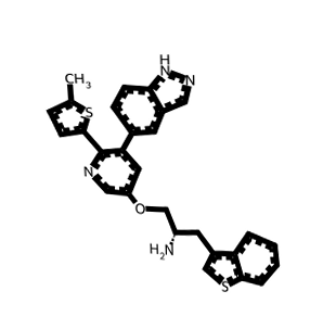 Cc1ccc(-c2ncc(OC[C@@H](N)Cc3csc4ccccc34)cc2-c2ccc3[nH]ncc3c2)s1